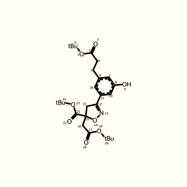 CC(C)(C)OC(=O)CCc1cc(O)cc(C2=NOC(CC(=O)OC(C)(C)C)(C(=O)OC(C)(C)C)C2)c1